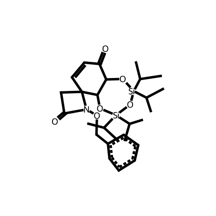 CC(C)[Si]1(C(C)C)OC2C(=O)C=CC3(CC(=O)N3OCc3ccccc3)C2O[Si](C(C)C)(C(C)C)O1